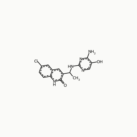 CC(Nc1ncc(O)c(N)n1)c1cc2cc(Cl)ccc2[nH]c1=O